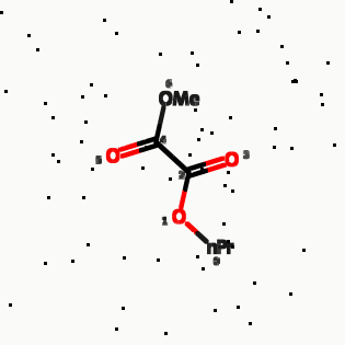 CCCOC(=O)C(=O)OC